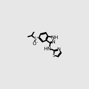 CC(C)[S+]([O-])c1ccc2[nH]nc(Nc3nccs3)c2c1